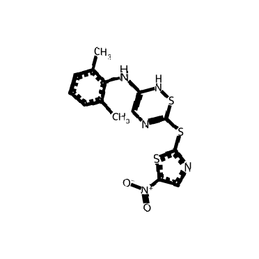 Cc1cccc(C)c1NC1=CN=C(Sc2ncc([N+](=O)[O-])s2)SN1